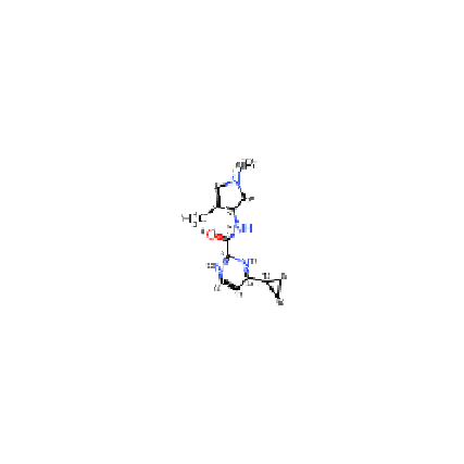 CC(C)N1C[C@H](C)[C@H](NC(=O)c2nccc(C3CC3)n2)C1